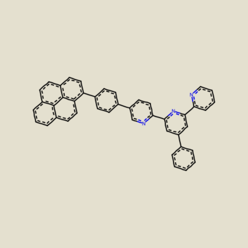 c1ccc(-c2cc(-c3ccccn3)nc(-c3ccc(-c4ccc(-c5ccc6ccc7cccc8ccc5c6c78)cc4)cn3)c2)cc1